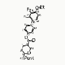 CCCCCC1CCC(C(=O)Oc2ccc(-c3ccc(OCC)c(F)c3C)cc2)CO1